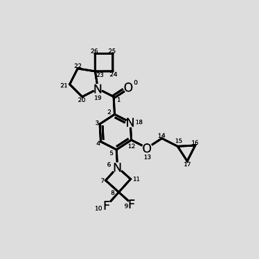 O=C(c1ccc(N2CC(F)(F)C2)c(OCC2CC2)n1)N1CCCC12CCC2